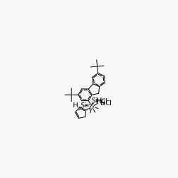 CC(C)(C)c1ccc2c(c1)-c1cc(C(C)(C)C)c[c]([Zr]([CH3])([CH3])([CH3])([CH3])(=[SiH2])(=[SiH2])[C]3=CC=CC3)c1C2.Cl.Cl